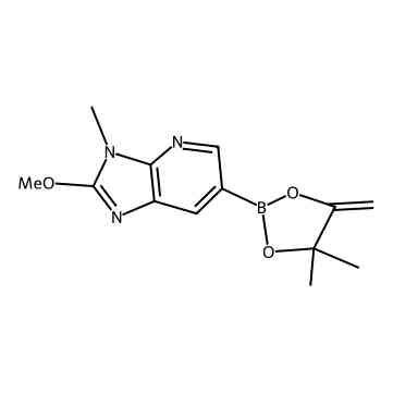 C=C1OB(c2cnc3c(c2)nc(OC)n3C)OC1(C)C